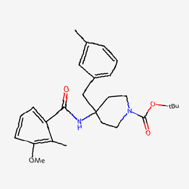 COc1cccc(C(=O)NC2(Cc3cccc(C)c3)CCN(C(=O)OC(C)(C)C)CC2)c1C